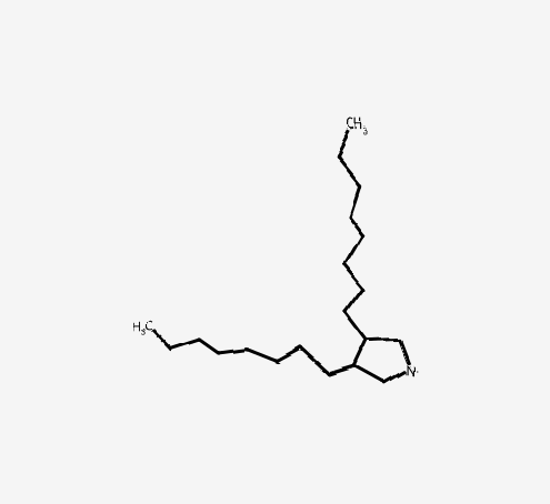 CCCCCCCCC1C[N]CC1CCCCCCCC